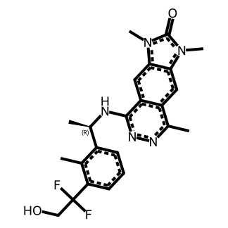 Cc1c([C@@H](C)Nc2nnc(C)c3cc4c(cc23)n(C)c(=O)n4C)cccc1C(F)(F)CO